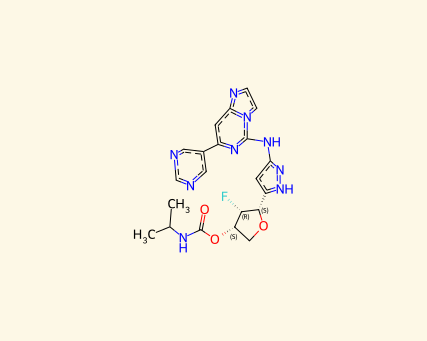 CC(C)NC(=O)O[C@H]1CO[C@@H](c2cc(Nc3nc(-c4cncnc4)cc4nccn34)n[nH]2)[C@H]1F